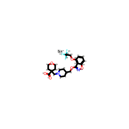 O=C([O-])C1(CN2CCC(COc3noc4cccc(OCC(F)(F)F)c34)CC2)CCOCC1.[Na+]